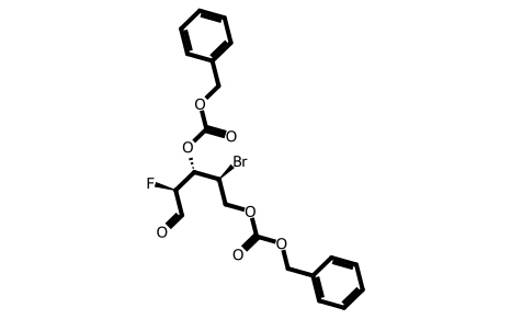 O=C[C@@H](F)[C@H](OC(=O)OCc1ccccc1)[C@@H](Br)COC(=O)OCc1ccccc1